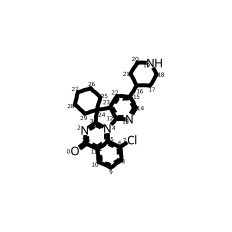 O=c1nc2n(c3c(Cl)cccc13)-c1ncc(C3CCNCC3)cc1C21CCCCC1